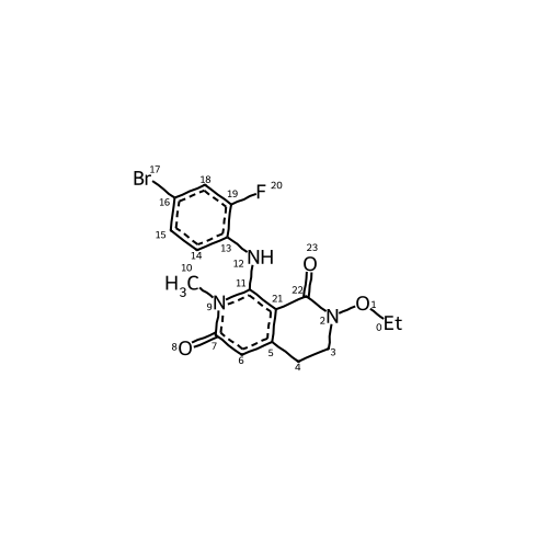 CCON1CCc2cc(=O)n(C)c(Nc3ccc(Br)cc3F)c2C1=O